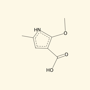 COc1[nH]c(C)cc1C(=O)O